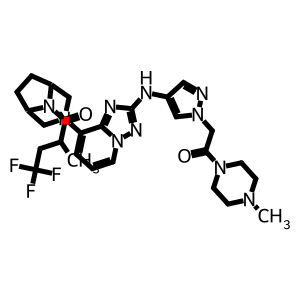 CC(CC(F)(F)F)C(=O)N1C2CCC1CN(c1cccn3nc(Nc4cnn(CC(=O)N5CCN(C)CC5)c4)nc13)C2